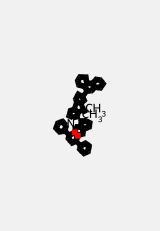 CC1(C)c2cc(-c3cc4ccccc4c4ccccc34)ccc2-c2ccc(N(c3ccccc3-c3ccc(-c4ccccc4)cc3)c3cccc4ccccc34)cc21